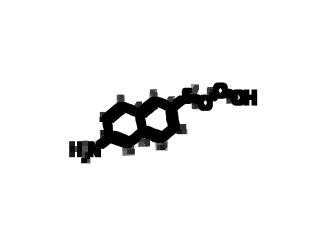 Nc1ccc2cc(SOOO)ccc2c1